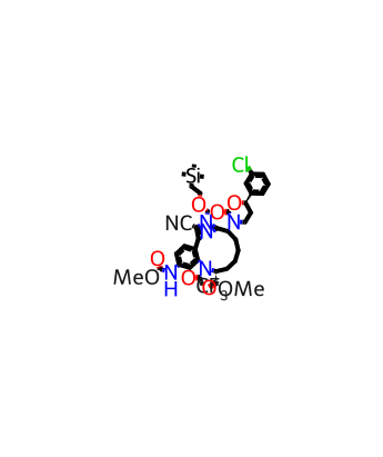 COC(=O)Nc1ccc2c(c1)N(C(=O)C(F)(F)F)[C@@H](C(=O)OC)CCCC[C@H](N1CC[C@H](c3cccc(Cl)c3)OC1=O)c1nc-2c(C#N)n1COCC[Si](C)(C)C